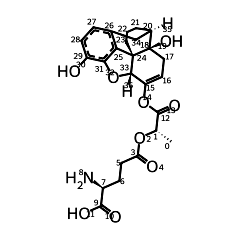 C[C@H](OC(=O)CC[C@H](N)C(=O)O)C(=O)OC1=CC[C@@]2(O)[C@@H]3CCC[C@@]24c2c(ccc(O)c2O[C@@H]14)C3